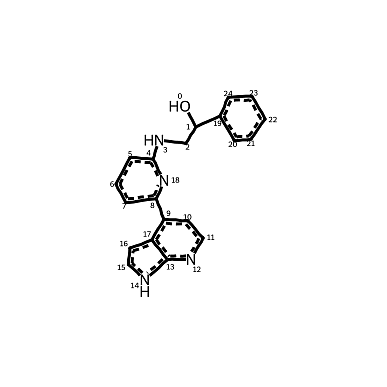 OC(CNc1cccc(-c2ccnc3[nH]ccc23)n1)c1ccccc1